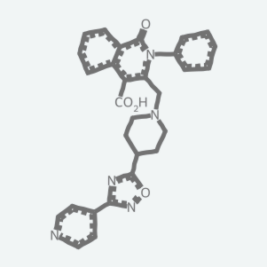 O=C(O)c1c(CN2CCC(c3nc(-c4ccncc4)no3)CC2)n(-c2ccccc2)c(=O)c2ccccc12